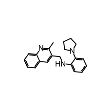 Cc1nc2ccccc2cc1CNc1ccccc1N1CCCC1